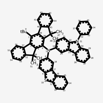 CC(C)(C)c1c2c(c(N(c3ccc4sc5ccccc5c4c3)c3ccc4c(c3)c3ccccc3n4-c3ccccc3)c3c1-c1ccccc1C3(C)C)C(C)(C)c1ccccc1-2